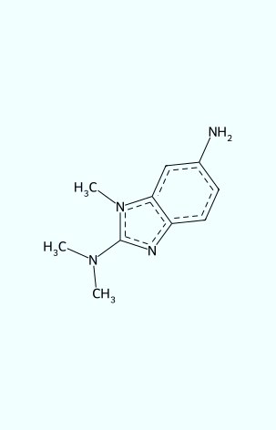 CN(C)c1nc2ccc(N)cc2n1C